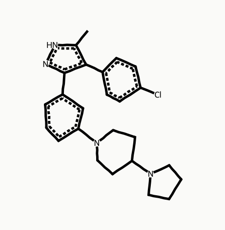 Cc1[nH]nc(-c2cccc(N3CCC(N4CCCC4)CC3)c2)c1-c1ccc(Cl)cc1